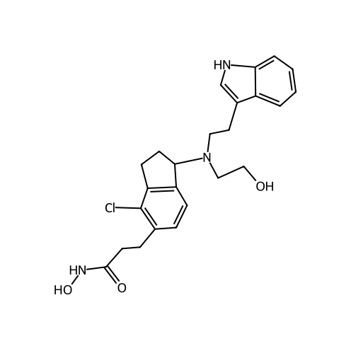 O=C(CCc1ccc2c(c1Cl)CCC2N(CCO)CCc1c[nH]c2ccccc12)NO